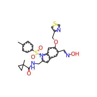 Cc1ccc(S(=O)(=O)n2c(CNC(=O)C3(C)CC3)cc3cc(C=NO)c(OCc4cscn4)cc32)cc1